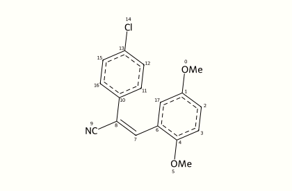 COc1ccc(OC)c(C=C(C#N)c2ccc(Cl)cc2)c1